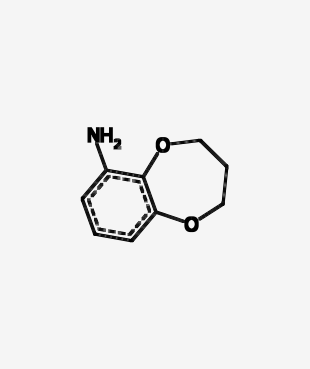 Nc1cccc2c1OCCCO2